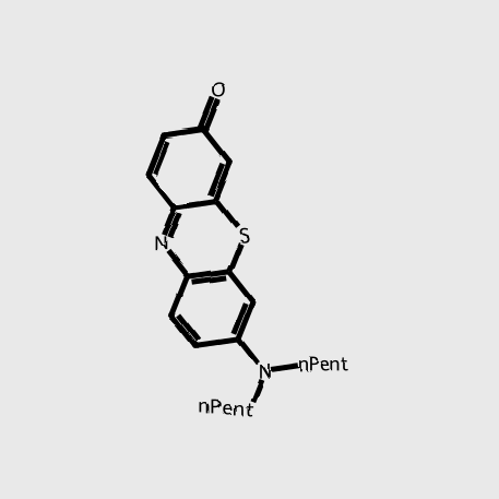 CCCCCN(CCCCC)c1ccc2nc3ccc(=O)cc-3sc2c1